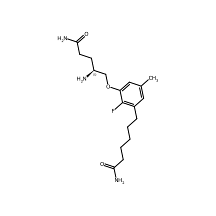 Cc1cc(CCCCCC(N)=O)c(F)c(OC[C@@H](N)CCC(N)=O)c1